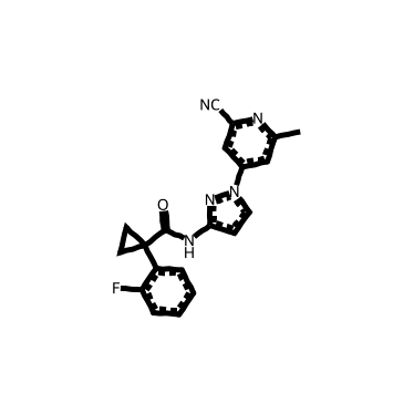 Cc1cc(-n2ccc(NC(=O)C3(c4ccccc4F)CC3)n2)cc(C#N)n1